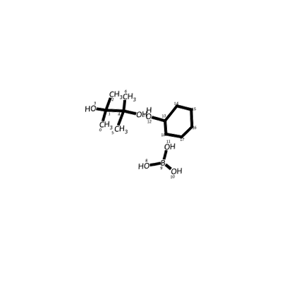 CC(C)(O)C(C)(C)O.OB(O)O.OC1CCCCC1